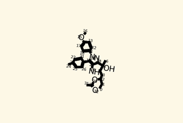 CCC(CCC(C)(O)c1nn(-c2ccc(OC)cc2)c(-c2ccc(C)cc2)c1N)OC(C)=O